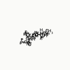 C[C@@H](CC(=O)NC(c1cnn2cc([C@@H](NC(=O)c3conc3OCC(F)F)C3CCC(F)(F)CC3)nc2c1)C1CC1)C(F)(F)F